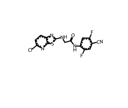 N#Cc1cc(F)c(NC(=O)CNc2nc3ccc(Cl)nc3s2)cc1F